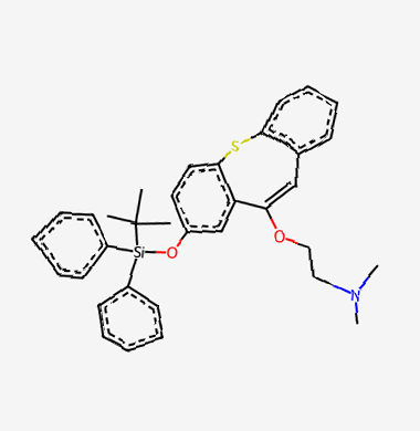 CN(C)CCOC1=Cc2ccccc2Sc2ccc(O[Si](c3ccccc3)(c3ccccc3)C(C)(C)C)cc21